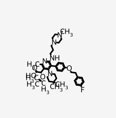 Cc1nc(NCCCN2CCN(C)CC2)c(-c2ccc(OCCc3ccc(F)cc3)cc2)c(N2CCC(C)(C)CC2)c1[C@H](OC(C)(C)C)C(=O)O